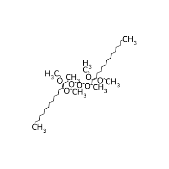 CCCCCCCCCCCCC(OCC)=C(OCC)C(C)OCOCOC(C)C(OCC)=C(CCCCCCCCCCCC)OCC